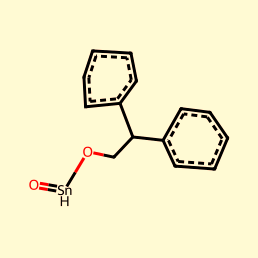 [O]=[SnH][O]CC(c1ccccc1)c1ccccc1